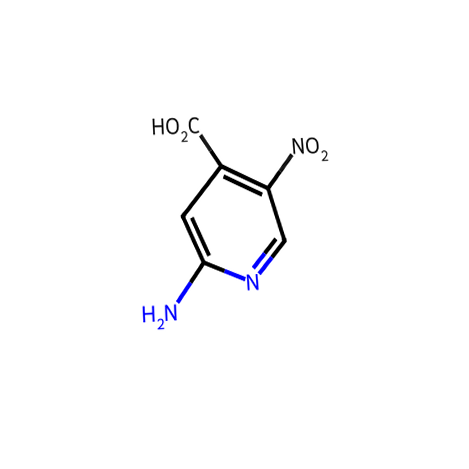 Nc1cc(C(=O)O)c([N+](=O)[O-])cn1